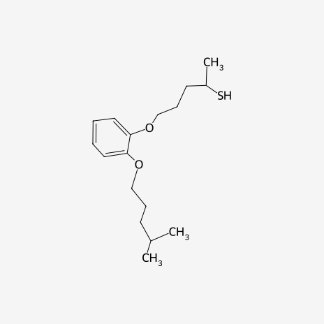 CC(C)CCCOc1ccccc1OCCCC(C)S